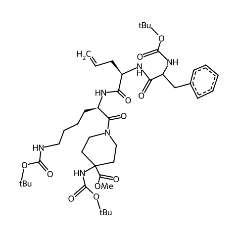 C=CC[C@@H](NC(=O)C(Cc1ccccc1)NC(=O)OC(C)(C)C)C(=O)N[C@H](CCCCNC(=O)OC(C)(C)C)C(=O)N1CCC(NC(=O)OC(C)(C)C)(C(=O)OC)CC1